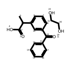 CC(C(=O)O)c1cccc(C(=O)c2ccccc2)c1.OCCO